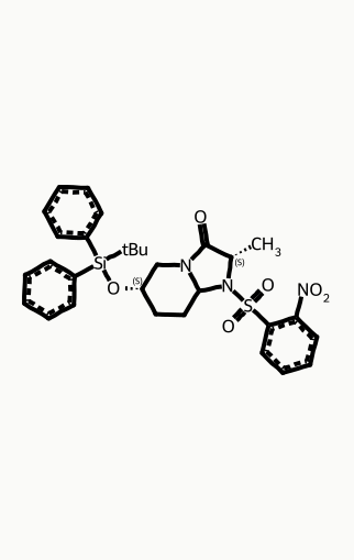 C[C@H]1C(=O)N2C[C@@H](O[Si](c3ccccc3)(c3ccccc3)C(C)(C)C)CCC2N1S(=O)(=O)c1ccccc1[N+](=O)[O-]